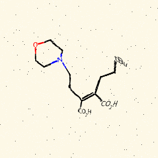 CC(C)(C)CCC(C(=O)O)=C(CCN1CCOCC1)C(=O)O